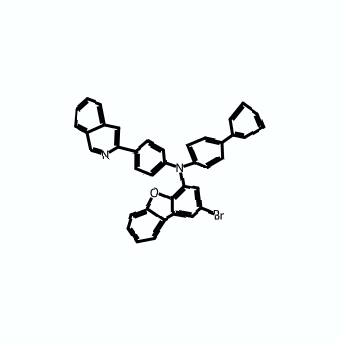 Brc1cc(N(c2ccc(-c3ccccc3)cc2)c2ccc(-c3cc4ccccc4cn3)cc2)c2oc3ccccc3c2c1